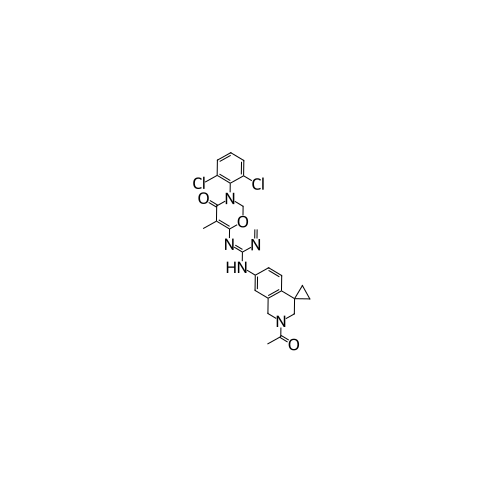 C=N/C(=N\C1=C(C)C(=O)N(c2c(Cl)cccc2Cl)CO1)Nc1ccc2c(c1)CN(C(C)=O)CC21CC1